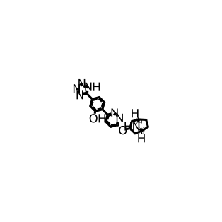 Oc1cc(-c2nnn[nH]2)ccc1-c1ccc(OC2C[C@H]3CC[C@@H](C2)N3)nn1